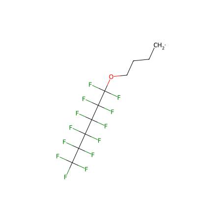 [CH2]CCCOC(F)(F)C(F)(F)C(F)(F)C(F)(F)C(F)(F)C(F)(F)F